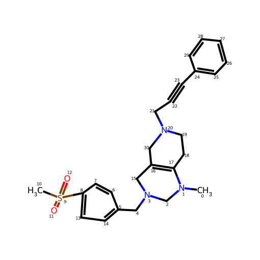 CN1CN(Cc2ccc(S(C)(=O)=O)cc2)CC2=C1CCN(CC#Cc1ccccc1)C2